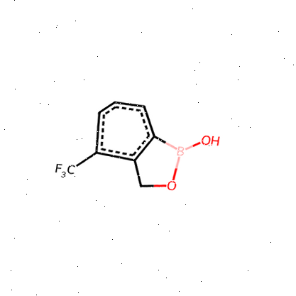 OB1OCc2c1cccc2C(F)(F)F